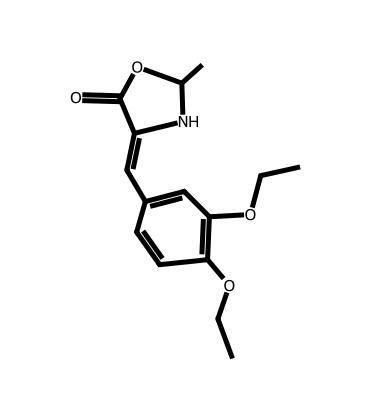 CCOc1ccc(/C=C2\NC(C)OC2=O)cc1OCC